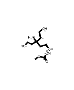 COC(=O)O.NC(CCO)(CCO)CCO